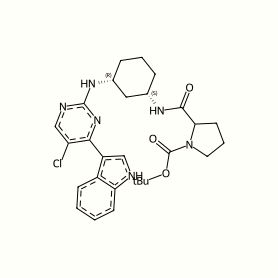 CC(C)(C)OC(=O)N1CCCC1C(=O)N[C@H]1CCC[C@@H](Nc2ncc(Cl)c(-c3c[nH]c4ccccc34)n2)C1